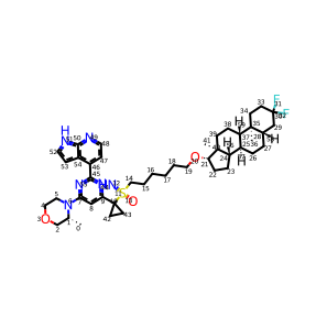 C[C@@H]1COCCN1c1cc(C2(S(=N)(=O)CCCCCCO[C@H]3CC[C@H]4[C@@H]5CC[C@H]6CC(F)(F)CC[C@]6(C)[C@H]5CC[C@]34C)CC2)nc(-c2ccnc3[nH]ccc23)n1